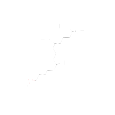 COCCCCCC(C)CCCC(C)CCCC(C)C